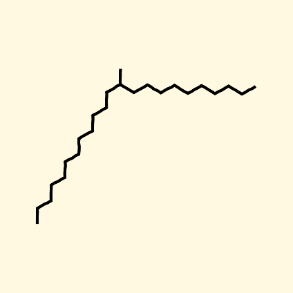 CCCCCCCCCCCC[C](C)CCCCCCCCCC